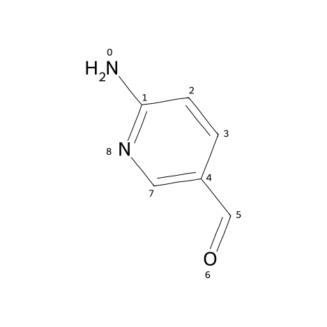 Nc1ccc(C=O)cn1